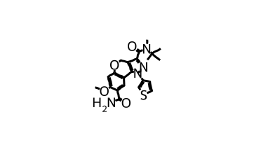 COc1cc2c(cc1C(N)=O)-c1c(c(C(=O)N(C)C(C)(C)C)nn1-c1ccsc1)CO2